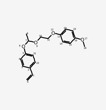 C=Cc1ccc(OC(C)OCCOc2ccc(OC)cc2)cc1